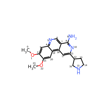 COc1cc2ncc3c(N)nc(C4CCNC4)cc3c2cc1OC